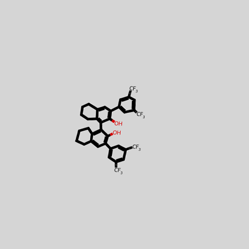 Oc1c(-c2cc(C(F)(F)F)cc(C(F)(F)F)c2)cc2c(c1-c1c(O)c(-c3cc(C(F)(F)F)cc(C(F)(F)F)c3)cc3c1CCCC3)CCCC2